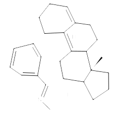 C[C@@]12CCC[C@H]1[C@@H]1CCC3=CCCCC3=C1CC2.ON=Cc1ccccc1